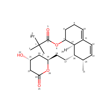 CC(C)C(C)(C)C(=O)OC1CCC=C2C=C[C@H](C)[C@H](CC[C@@H]3C[C@@H](O)CC(=O)O3)[C@H]21